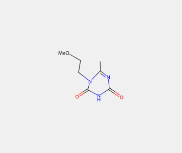 COCCn1c(C)nc(=O)[nH]c1=O